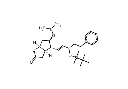 CC(C)(C)[Si](C)(C)O[C@@H](/C=C/[C@@H]1[C@H]2CC(=O)O[C@H]2C[C@H]1OB(P)P)CCc1ccccc1